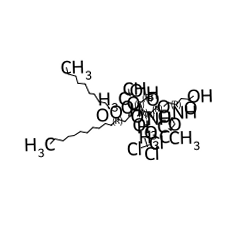 CCCCCCCCCCC[C@H](CC(=O)O[C@@H]1[C@@H](NC(=O)OCC(Cl)(Cl)Cl)[C@H](OC[C@@H](CC(=O)O)NC(=O)OC(C)(C)C)O[C@@H]2COC(C)(C)O[C@@H]12)OC(=O)CCCCCCCCC